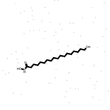 O=C(CCCCCCCCCCCCCCCCCO)NO